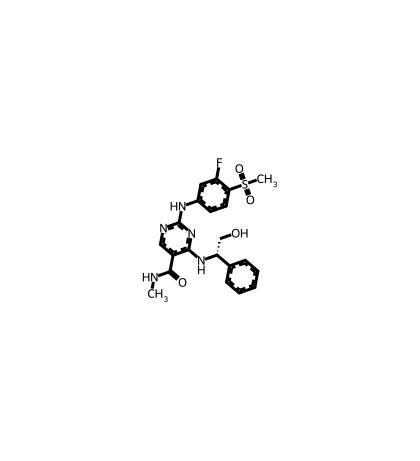 CNC(=O)c1cnc(Nc2ccc(S(C)(=O)=O)c(F)c2)nc1N[C@H](CO)c1ccccc1